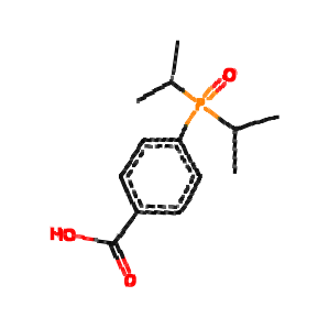 CC(C)P(=O)(c1ccc(C(=O)O)cc1)C(C)C